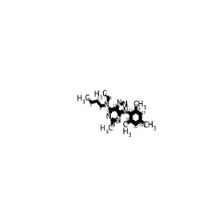 CCCCN(CC)c1nc(C)nc2c1nnn2-c1c(C)cc(C)cc1C